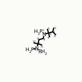 CC(C)C(C)(C)N(P)CCC(C)(C)N(P)P